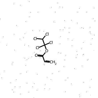 C=CC(=O)OC(Cl)(Cl)C(Cl)Cl